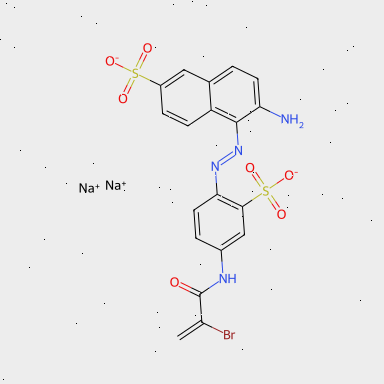 C=C(Br)C(=O)Nc1ccc(N=Nc2c(N)ccc3cc(S(=O)(=O)[O-])ccc23)c(S(=O)(=O)[O-])c1.[Na+].[Na+]